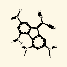 [C-]#[N+]C(C#N)=C1c2cc([N+](=O)[O-])cc([N+](=O)[O-])c2-c2c1cc([N+](=O)[O-])cc2[N+](=O)[O-]